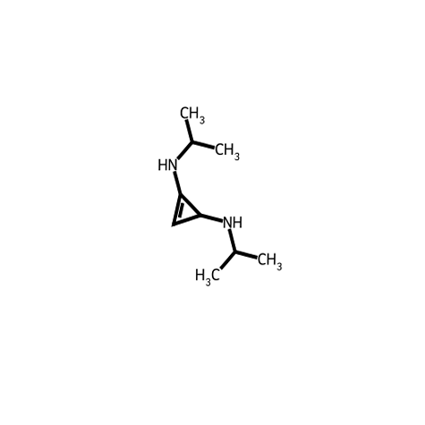 CC(C)NC1=CC1NC(C)C